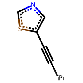 CC(C)C#Cc1cncs1